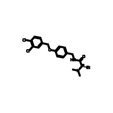 CC[C@@H](C(=O)NCc1ccc(OCc2ccc(Cl)c(Cl)c2)cc1)N(C)C